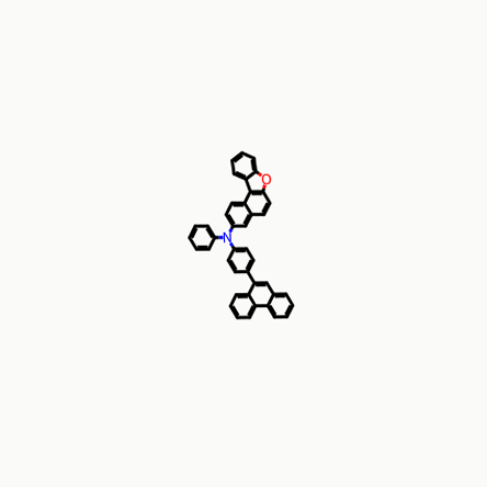 c1ccc(N(c2ccc(-c3cc4ccccc4c4ccccc34)cc2)c2ccc3c(ccc4oc5ccccc5c43)c2)cc1